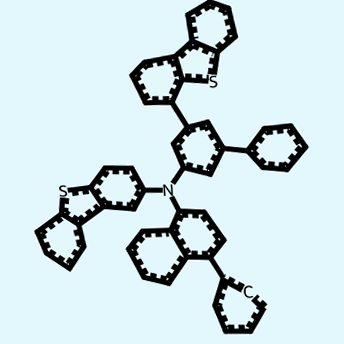 c1ccc(-c2cc(-c3cccc4c3sc3ccccc34)cc(N(c3ccc4sc5ccccc5c4c3)c3ccc(-c4ccccc4)c4ccccc34)c2)cc1